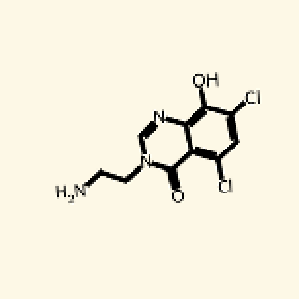 NCCn1cnc2c(O)c(Cl)cc(Cl)c2c1=O